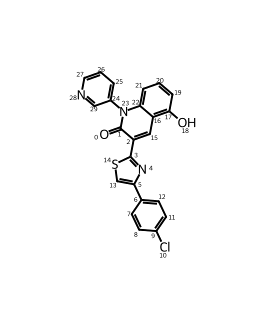 O=c1c(-c2nc(-c3ccc(Cl)cc3)cs2)cc2c(O)cccc2n1-c1cccnc1